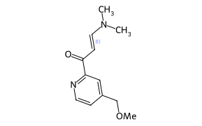 COCc1ccnc(C(=O)/C=C/N(C)C)c1